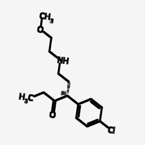 CCC(=O)[C@H](CCNCCOC)c1ccc(Cl)cc1